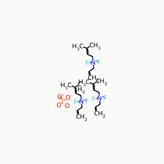 C=CC[N+](F)(F)CC=C(C)C.C=CC[N+](F)(F)CC=C(C)C.C=CC[N+](F)(F)CC=C(C)C.O=P([O-])([O-])[O-]